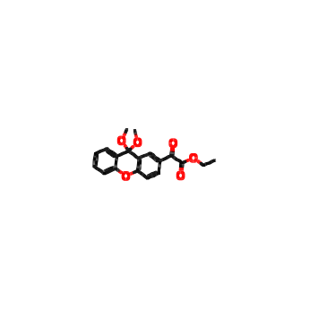 CCOC(=O)C(=O)c1ccc2c(c1)C(OC)(OC)c1ccccc1O2